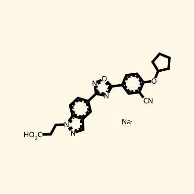 N#Cc1cc(-c2nc(-c3ccc4c(cnn4CCC(=O)O)c3)no2)ccc1OC1CCCC1.[Na]